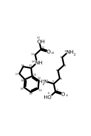 NCCCCC(N)C(=O)O.O=C(O)CNC1CCc2ccccc21